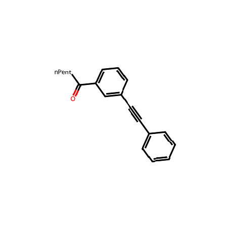 CCCCCC(=O)c1cccc(C#Cc2ccccc2)c1